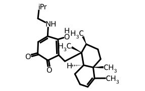 CC1=CCC[C@H]2[C@](C)(CC3=C(O)C(NCC(C)C)=CC(=O)C3=O)[C@@H](C)CC[C@]12C